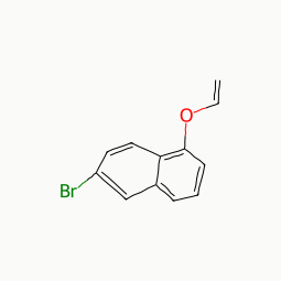 C=COc1cccc2cc(Br)ccc12